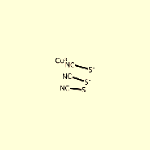 N#C[S-].N#C[S-].N#C[S-].[Co+3]